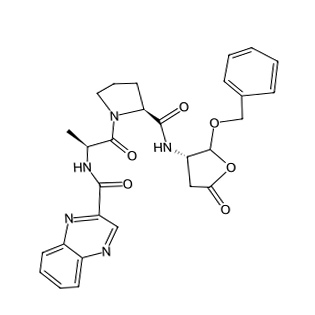 C[C@H](NC(=O)c1cnc2ccccc2n1)C(=O)N1CCC[C@H]1C(=O)N[C@H]1CC(=O)OC1OCc1ccccc1